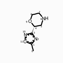 Cc1nc([C@H]2CNCCO2)no1